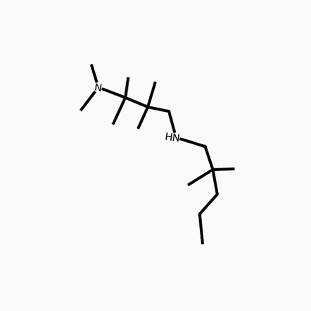 CCCC(C)(C)CNCC(C)(C)C(C)(C)N(C)C